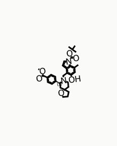 COC(=O)c1ccc([C@@H]2CC3(CCCO3)CCN2Cc2c(O)cc(C)c3c2ccn3C(=O)OC(C)(C)C)cc1